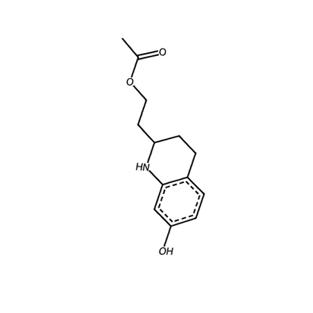 CC(=O)OCCC1CCc2ccc(O)cc2N1